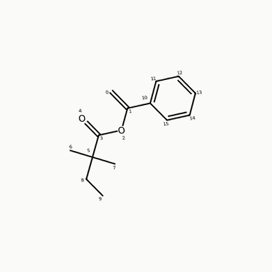 C=C(OC(=O)C(C)(C)CC)c1ccccc1